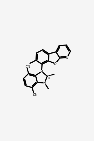 Cc1ccc2c(oc3ncccc32)c1N1c2c(C#N)ccc(C#N)c2N(C)[C@@H]1C